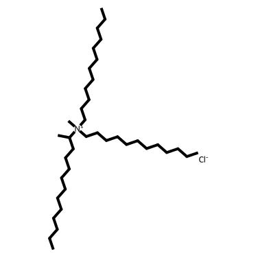 CCCCCCCCCCCC[N+](C)(CCCCCCCCCCCC)C(C)CCCCCCCCCCC.[Cl-]